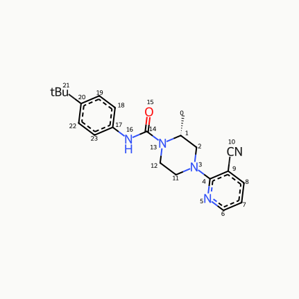 C[C@@H]1CN(c2ncccc2C#N)CCN1C(=O)Nc1ccc(C(C)(C)C)cc1